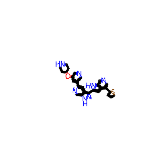 c1csc(-c2cncc3[nH]c(-c4n[nH]c5cnc(-c6cncc(OC7CCNCC7)c6)cc45)cc23)c1